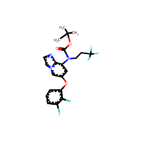 CC(C)(C)OC(=O)N(CCC(F)(F)F)c1cc(Oc2cccc(F)c2F)cn2ccnc12